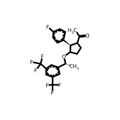 CC(=O)C1CCC(O[C@H](C)c2cc(C(F)(F)F)cc(C(F)(F)F)c2)[C@H]1c1ccc(F)cc1